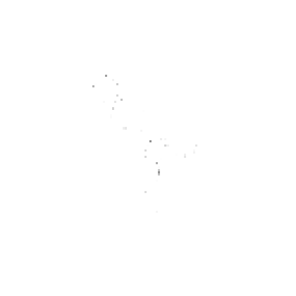 O=[N+]([O-])c1cn(C2CCC3(CC2)OCCO3)nc1OCC(F)F